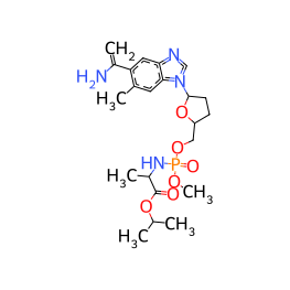 C=C(N)c1cc2ncn(C3CCC(COP(=O)(NC(C)C(=O)OC(C)C)OC)O3)c2cc1C